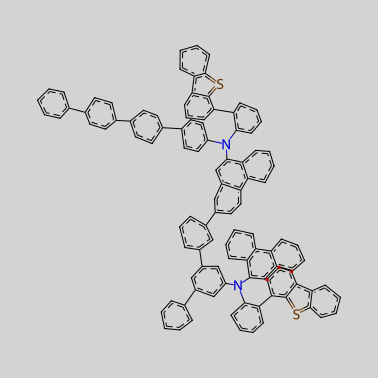 c1ccc(-c2ccc(-c3ccc(-c4ccc(N(c5ccccc5-c5cccc6c5sc5ccccc56)c5cc6cc(-c7cccc(-c8cc(-c9ccccc9)cc(N(c9ccccc9-c9cccc%10c9sc9ccccc9%10)c9cc%10ccccc%10c%10ccccc9%10)c8)c7)ccc6c6ccccc56)cc4)cc3)cc2)cc1